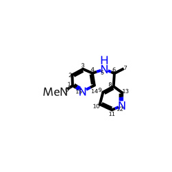 CNc1ccc(NC(C)c2cccnc2)cn1